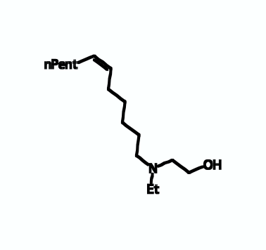 CCCCC/C=C\CCCCCN(CC)CCO